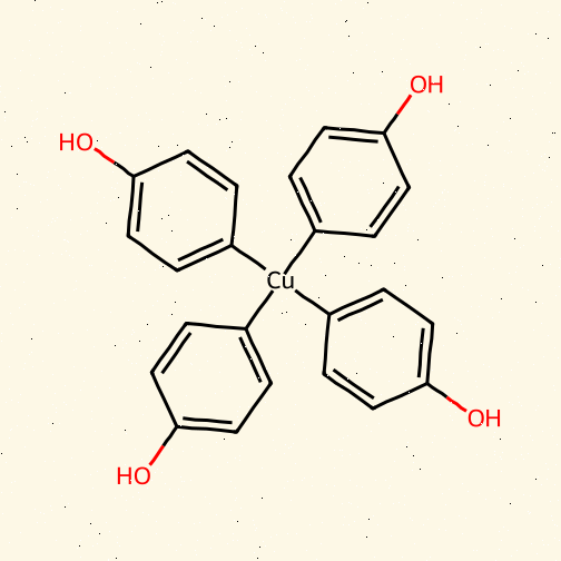 Oc1cc[c]([Cu]([c]2ccc(O)cc2)([c]2ccc(O)cc2)[c]2ccc(O)cc2)cc1